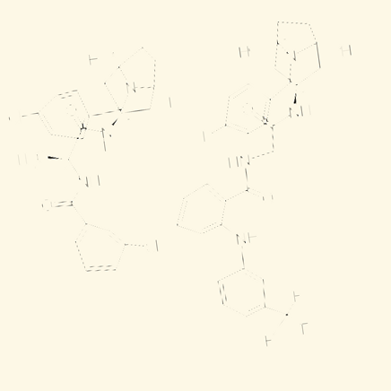 C[C@H](NC(=O)c1cccc(Cl)c1)C(=O)N[C@H]1C[C@H]2CC[C@@H](C1)N2Cc1ccc(Cl)cc1.O=C(CNC(=O)c1ccccc1Nc1cccc(C(F)(F)F)c1)N[C@H]1C[C@H]2CC[C@@H](C1)N2Cc1ccc(F)cc1